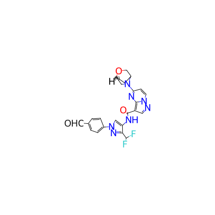 O=Cc1ccc(-n2cc(NC(=O)c3cnn4ccc(N5C[C@H]6CC5CO6)nc34)c(C(F)F)n2)cc1